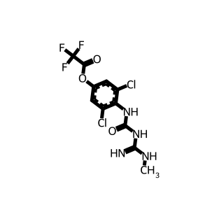 CNC(=N)NC(=O)Nc1c(Cl)cc(OC(=O)C(F)(F)F)cc1Cl